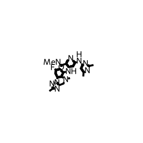 CNC(=O)c1cnc(Nc2cc(C)nc(C)n2)cc1Nc1cc(F)cc2c1N(C)Cc1nc(C)nn1-2